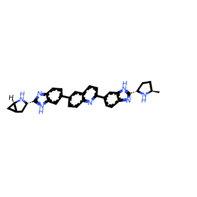 C[C@@H]1CC[C@@H](c2nc3ccc(-c4ccc5cc(-c6ccc7nc([C@@H]8CC9C[C@H]9N8)[nH]c7c6)ccc5n4)cc3[nH]2)N1